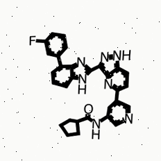 O=C(Nc1cncc(-c2ccc3[nH]nc(-c4nc5c(-c6cccc(F)c6)cccc5[nH]4)c3n2)c1)C1CCCC1